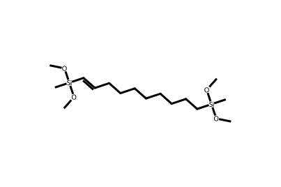 CO[Si](C)(C=CCCCCCCCC[Si](C)(OC)OC)OC